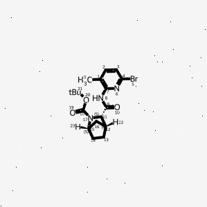 Cc1ccc(Br)nc1NC(=O)[C@@H]1[C@@H]2CC[C@@H](C2)N1C(=O)OC(C)(C)C